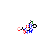 CCC(C)n1c(=O)c2c(-c3noc(C(C)COC)n3)ncn2c2cccc(Cl)c21